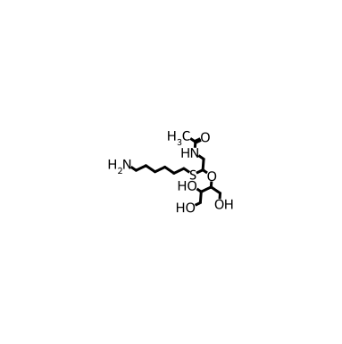 CC(=O)NCC(OC(CO)C(O)CO)SCCCCCCN